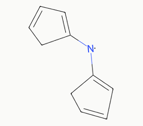 C1=CCC([N]C2=CC=CC2)=C1